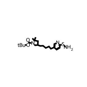 CC(C)(C)OC(=O)N1CC(CCCCCc2ccc(SN)nc2)CC1(C)C